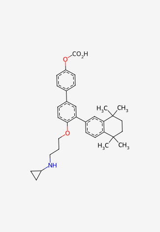 CC1(C)CCC(C)(C)c2cc(-c3cc(-c4ccc(OC(=O)O)cc4)ccc3OCCCNC3CC3)ccc21